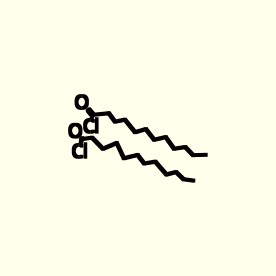 CCCCCCCCCCCC(=O)Cl.CCCCCCCCCCCC(=O)Cl